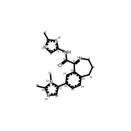 Cc1ncc(NC(=O)C2=NCCCc3ccc(-c4cnc(C)n4C)cc32)s1